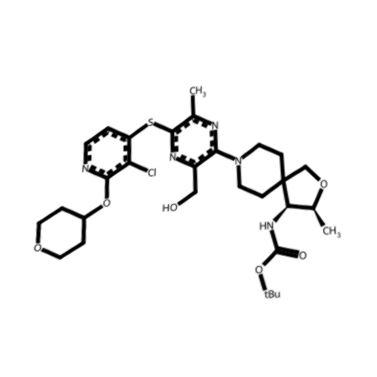 Cc1nc(N2CCC3(CC2)CO[C@@H](C)[C@H]3NC(=O)OC(C)(C)C)c(CO)nc1Sc1ccnc(OC2CCOCC2)c1Cl